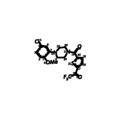 COc1ccc(Cl)cc1N1CCN(C(=O)c2ccc(C(=O)C(F)(F)F)s2)CC1